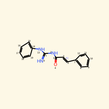 N=C(NC(=O)/C=C/c1ccccc1)Nc1ccccc1